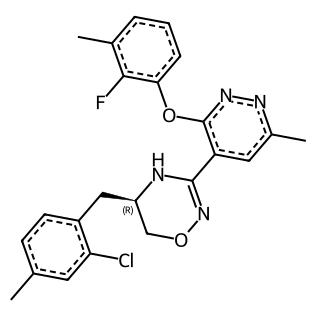 Cc1ccc(C[C@@H]2CON=C(c3cc(C)nnc3Oc3cccc(C)c3F)N2)c(Cl)c1